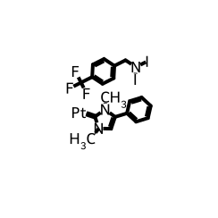 Cn1cc(-c2ccccc2)n(C)[c]1=[Pt].FC(F)(F)c1ccc(CN(I)I)cc1